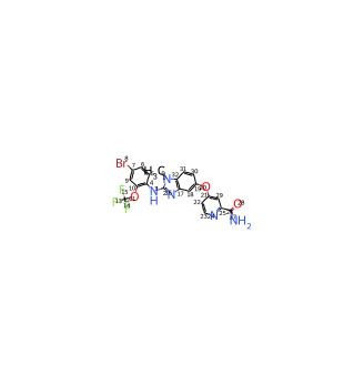 Cn1c(Nc2ccc(Br)cc2OC(F)(F)F)nc2cc(Oc3ccnc(C(N)=O)c3)ccc21